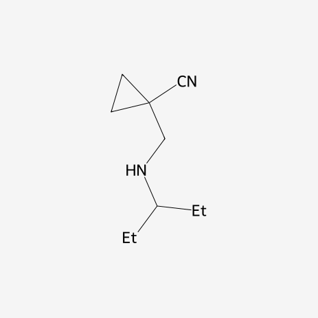 CCC(CC)NCC1(C#N)CC1